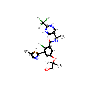 Cc1cnc(-c2cc(OC(C)(C)CO)cc(C(=O)NC(C)c3cnc(C(F)(F)F)nc3)c2F)s1